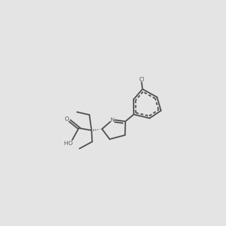 CCC(CC)(C(=O)O)[C@H]1CCC(c2cccc(Cl)c2)=N1